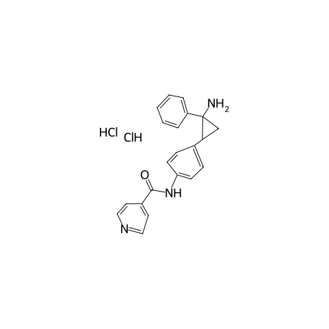 Cl.Cl.NC1(c2ccccc2)CC1c1ccc(NC(=O)c2ccncc2)cc1